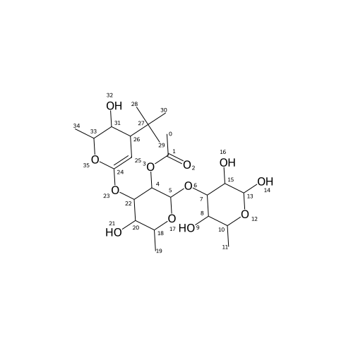 CC(=O)OC1C(OC2C(O)C(C)OC(O)C2O)OC(C)C(O)C1OC1=CC(C(C)(C)C)C(O)C(C)O1